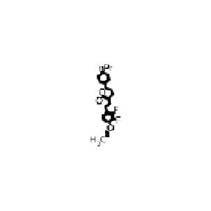 C=CCOc1ccc(CCC2CCC(C3CCC(CCC)CC3)OC2=O)c(F)c1F